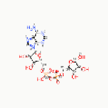 Nc1ncnc2c1ncn2[C@@H]1O[C@H](COP(=O)(O)OP(=O)(O)OC[C@@H]2O[C@H](O)C(O)C2O)C(O)C1O